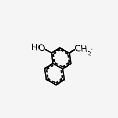 [CH2]c1cc(O)c2ccccc2c1